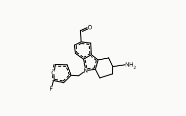 NC1CCc2c(c3cc(C=O)ccc3n2Cc2cccc(F)c2)C1